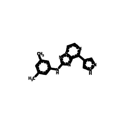 Cc1cc(C)cc(Nc2nc3c(-c4cn[nH]c4)nccn3n2)c1